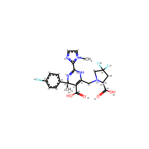 Cn1ccnc1C1=N[C@@](C)(c2ccc(F)cc2)C(C(=O)O)=C(CN2CC(F)(F)C[C@H]2C(=O)O)N1